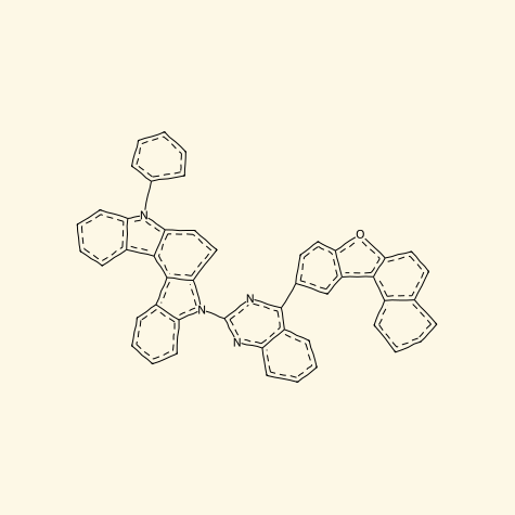 c1ccc(-n2c3ccccc3c3c4c5ccccc5n(-c5nc(-c6ccc7oc8ccc9ccccc9c8c7c6)c6ccccc6n5)c4ccc32)cc1